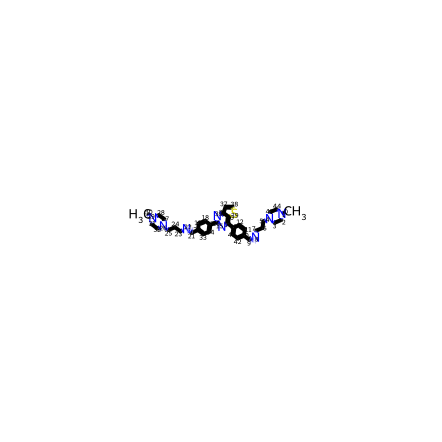 CN1CCN(CCC/N=C\c2ccc(-c3nc(-c4ccc(/C=N/CCCN5CCN(C)CC5)cc4)nc4ccsc34)cc2)CC1